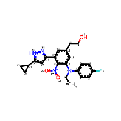 CCN(c1ccc(F)cc1)c1cc(CCO)cc(-c2cc(C3CC3)[nH]n2)c1[N+](=O)[O-]